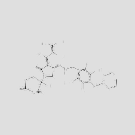 C\C(O)=C(O)/C(O)=C1/C(=O)N(C2(O)CCC(=O)NC2=O)C/C1=C\NCc1c(O)c(O)c(CN2CCOCC2)c(O)c1F